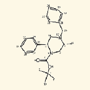 C[C@@H]1CN(C(=O)OC(C)(C)C)[C@@H](c2ccccc2)CN1Cc1ccccc1